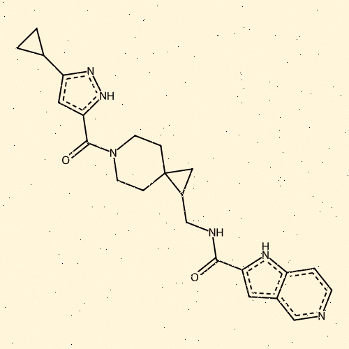 O=C(NCC1CC12CCN(C(=O)c1cc(C3CC3)n[nH]1)CC2)c1cc2cnccc2[nH]1